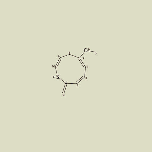 C=C1/C=C\C=C(\OC)C/C=C\S1